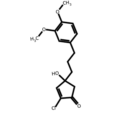 COc1ccc(CCCC2(O)C=C(Cl)C(=O)C2)cc1OC